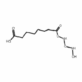 O=C(O)CCCCCCC(=O)ONONO